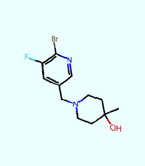 CC1(O)CCN(Cc2cnc(Br)c(F)c2)CC1